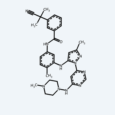 Cc1cc(Nc2cc(NC(=O)c3cccc(C(C)(C)C#N)c3)ccc2C)n(-c2cc(NN3CCN(C)CC3)ncn2)n1